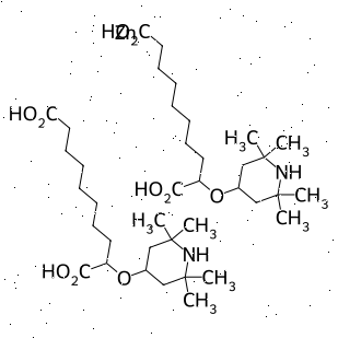 CC1(C)CC(OC(CCCCCCCC(=O)O)C(=O)O)CC(C)(C)N1.CC1(C)CC(OC(CCCCCCCC(=O)O)C(=O)O)CC(C)(C)N1.[Zn]